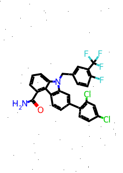 NC(=O)c1cccc2c1c1[c]cc(-c3ccc(Cl)cc3Cl)cc1n2Cc1ccc(F)c(C(F)(F)F)c1